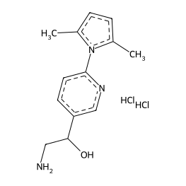 Cc1ccc(C)n1-c1ccc(C(O)CN)cn1.Cl.Cl